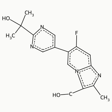 Cc1nc2cc(F)c(-c3cnc(C(C)(C)O)nc3)cn2c1CO